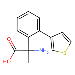 CC(N)(C(=O)O)c1ccccc1-c1ccsc1